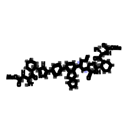 C=C/C=C(\C=C1/CN=C([C@@H]2CCCCN2C(=O)[C@@H](NC(=O)OC)C(C)C)NC1=O)c1ccc(-c2ccc(-c3cnc([C@@H]4CCCCN4C(=O)C(NC(=O)OC)C(C)C)[nH]3)cc2)c2c1CC1(CCCC1)C2